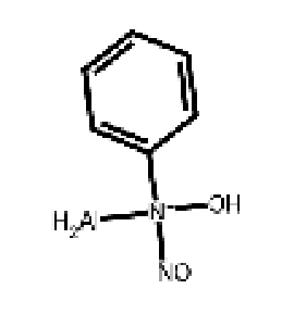 O=N[N+](O)([AlH2])c1ccccc1